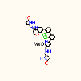 COc1nc(-c2cccc(-c3cccc(-c4ccc5c(c4)OCC[C@H]5NC[C@@H]4CCC(=O)N4)c3Cl)c2Cl)ccc1CNC[C@H]1CCC(=O)N1